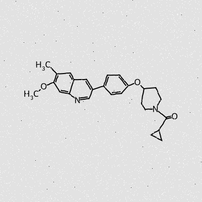 COc1cc2ncc(-c3ccc(OC4CCN(C(=O)C5CC5)CC4)cc3)cc2cc1C